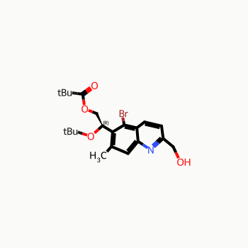 Cc1cc2nc(CO)ccc2c(Br)c1[C@H](COC(=O)C(C)(C)C)OC(C)(C)C